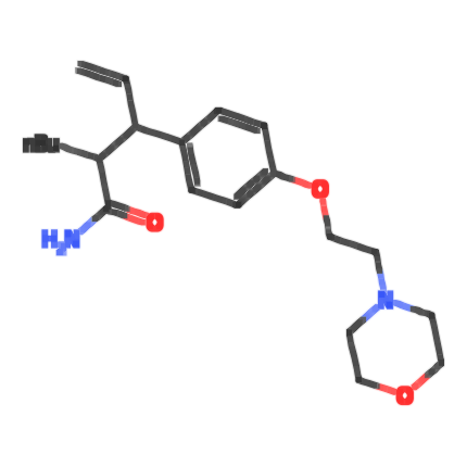 C=CC(c1ccc(OCCN2CCOCC2)cc1)C(CCCC)C(N)=O